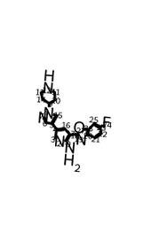 Nc1ncc(-c2cnn(C3CCNCC3)c2)cc1-c1nc2ccc(F)cc2o1